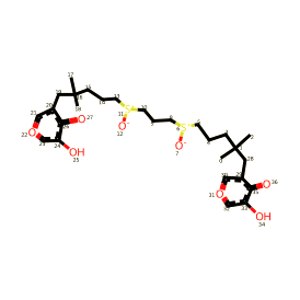 CC(C)(CCC[S+]([O-])CCC[S+]([O-])CCCC(C)(C)Cc1cocc(O)c1=O)Cc1cocc(O)c1=O